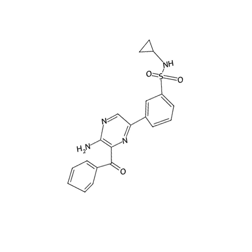 Nc1ncc(-c2cccc(S(=O)(=O)NC3CC3)c2)nc1C(=O)c1ccccc1